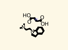 CN(C)CCn1ccc2ccccc21.O=C(O)/C=C/C(=O)O